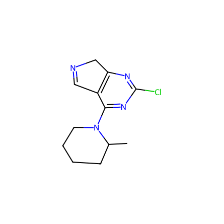 CC1CCCCN1c1nc(Cl)nc2c1C=NC2